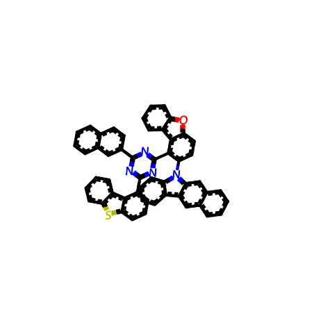 c1ccc2cc(-c3nc(-c4c(-n5c6ccccc6c6cc7ccccc7cc65)ccc5oc6ccccc6c45)nc(-c4cccc5sc6ccccc6c45)n3)ccc2c1